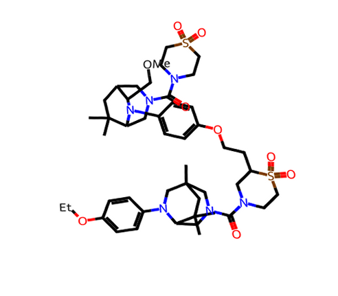 CCOc1ccc(N2CC3(C)CN(C(=O)N4CCS(=O)(=O)C(CCOc5ccc(N6C(COC)C7CN(C(=O)N8CCS(=O)(=O)CC8)CC6C(C)(C)C7)cc5)C4)CC2C(C)(C)C3)cc1